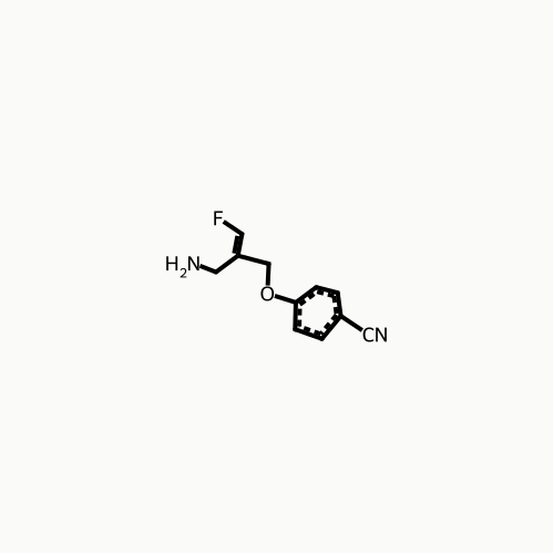 N#Cc1ccc(OC/C(=C/F)CN)cc1